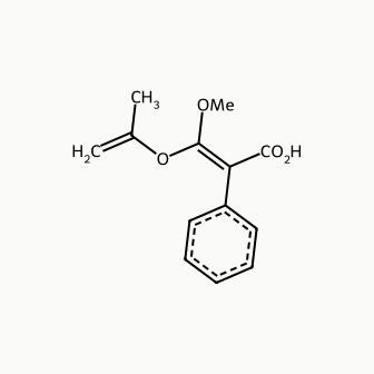 C=C(C)OC(OC)=C(C(=O)O)c1ccccc1